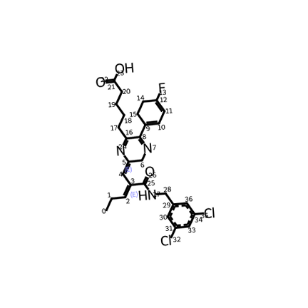 CC/C=C(\C=C1/CN=C(C2=CC=C(F)CC2)C(CCCCC(=O)O)=N1)C(=O)NCc1cc(Cl)cc(Cl)c1